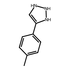 Cc1ccc(C2=CNNN2)cc1